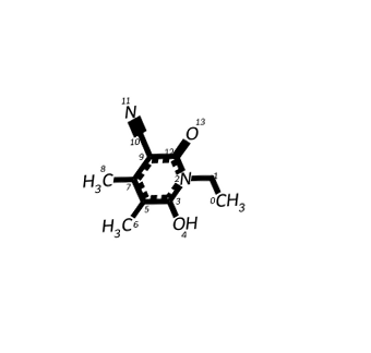 CCn1c(O)c(C)c(C)c(C#N)c1=O